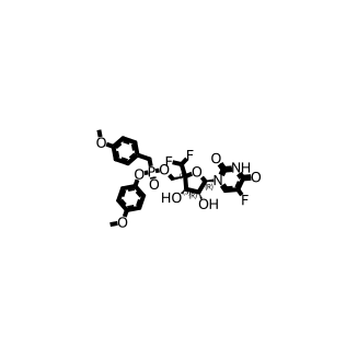 COc1ccc(CP(=O)(OC[C@@]2(C(F)F)O[C@@H](n3cc(F)c(=O)[nH]c3=O)[C@H](O)[C@@H]2O)Oc2ccc(OC)cc2)cc1